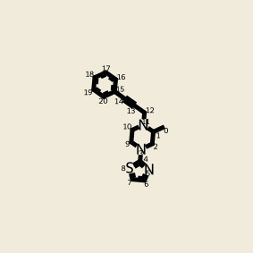 CC1CN(c2nccs2)CCN1CC#Cc1ccccc1